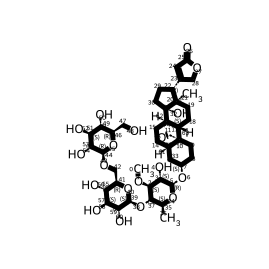 CO[C@H]1[C@H](O)[C@H](O[C@H]2CC[C@@]3(C=O)[C@H](CC[C@@H]4[C@@H]3CC[C@]3(C)[C@@H](C5=CC(=O)OC5)CC[C@]43O)C2)O[C@@H](C)[C@@H]1O[C@@H]1O[C@H](CO[C@@H]2O[C@H](CO)[C@@H](O)[C@H](O)[C@H]2O)[C@@H](O)[C@H](O)[C@H]1O